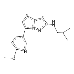 COc1ccc(-c2cnc3sc(NCC(C)C)nn23)cn1